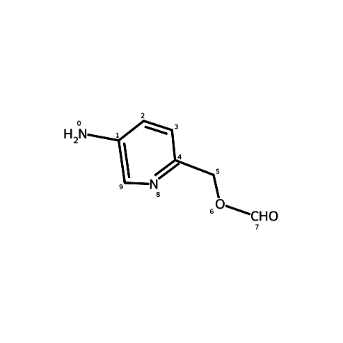 Nc1ccc(COC=O)nc1